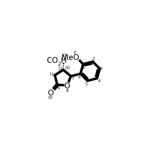 COc1ccccc1C1OC(=O)C[C@@H]1C(=O)O